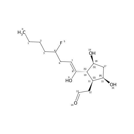 CCCCC(F)CC=C(O)[C@H]1[C@H](CC=O)[C@H](O)C[C@@H]1O